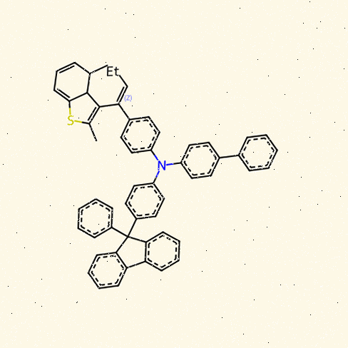 CC/C=C(\C1=C(C)SC2=CC=CC(C)C21)c1ccc(N(c2ccc(-c3ccccc3)cc2)c2ccc(C3(c4ccccc4)c4ccccc4-c4ccccc43)cc2)cc1